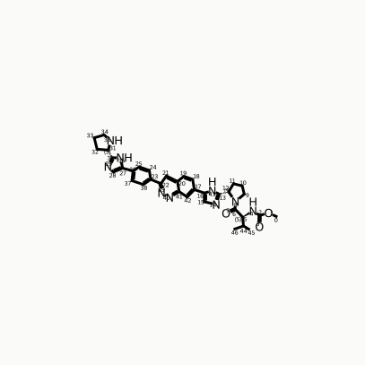 COC(=O)N[C@H](C(=O)N1CCC[C@H]1c1ncc(-c2ccc3cc(-c4ccc(-c5cnc([C@@H]6CCCN6)[nH]5)cc4)nnc3c2)[nH]1)C(C)C